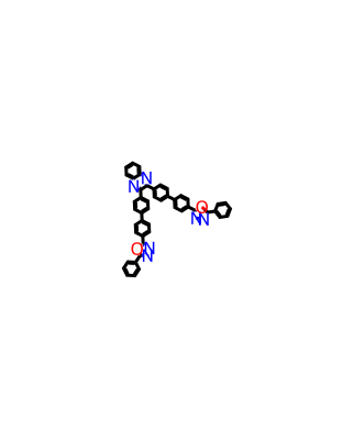 c1ccc(-c2nnc(-c3ccc(-c4ccc(-c5nc6ccccc6nc5-c5ccc(-c6ccc(-c7nnc(-c8ccccc8)o7)cc6)cc5)cc4)cc3)o2)cc1